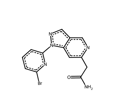 NC(=O)Cc1cc2c(cn1)cnn2-c1cccc(Br)n1